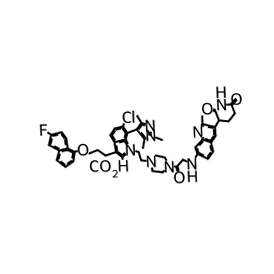 Cc1nc2cc(NCC(=O)N3CCN(CCn4c(C(=O)O)c(CCCOc5cccc6cc(F)ccc56)c5ccc(Cl)c(-c6c(C)nn(C)c6C)c54)CC3)ccc2cc1C1CCC(=O)NC1=O